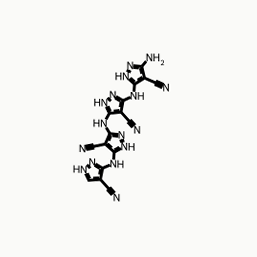 N#Cc1c[nH]nc1Nc1[nH]nc(Nc2[nH]nc(Nc3[nH]nc(N)c3C#N)c2C#N)c1C#N